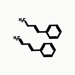 C=CC=Cc1ccccc1.CCC=Cc1ccccc1